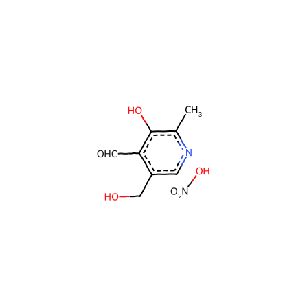 Cc1ncc(CO)c(C=O)c1O.O=[N+]([O-])O